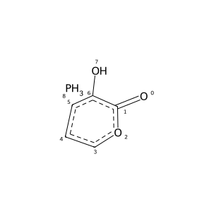 O=c1occcc1O.P